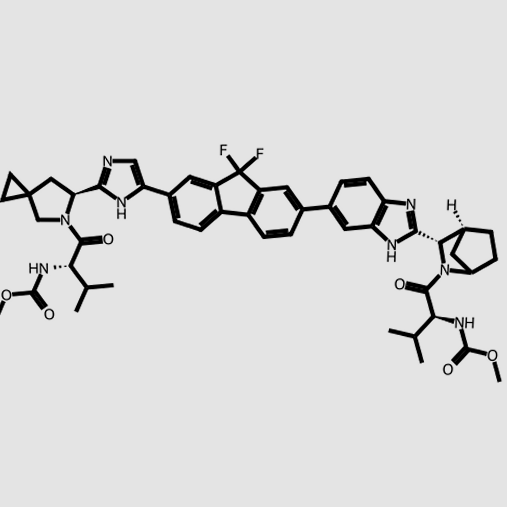 COC(=O)N[C@H](C(=O)N1CC2(CC2)C[C@H]1c1ncc(-c2ccc3c(c2)C(F)(F)c2cc(-c4ccc5nc([C@@H]6[C@H]7CCC(C7)N6C(=O)[C@@H](NC(=O)OC)C(C)C)[nH]c5c4)ccc2-3)[nH]1)C(C)C